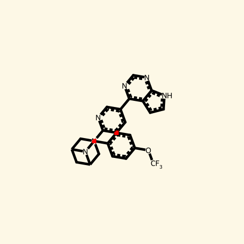 FC(F)(F)Oc1ccc(CN2C3CC2CN(c2ccc(-c4ncnc5[nH]ccc45)cn2)C3)cc1